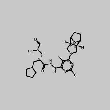 O=CN(O)C[C@@H](CC1CCCC1)C(=O)NNc1nc(Cl)nc(N2C[C@@H]3C4CCC(O4)[C@@H]3C2)c1F